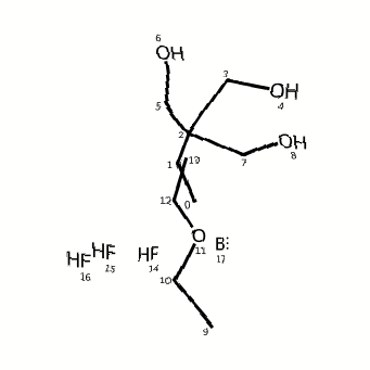 CCC(CO)(CO)CO.CCOCC.F.F.F.[B]